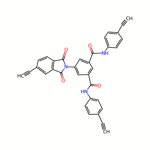 C#Cc1ccc(NC(=O)c2cc(C(=O)Nc3ccc(C#C)cc3)cc(N3C(=O)c4ccc(C#C)cc4C3=O)c2)cc1